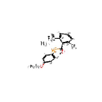 CCCCCOc1ccc(PC(=O)c2c(C(F)(F)F)cccc2C(F)(F)F)cc1.[LiH]